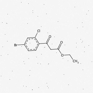 CCOC(=O)CC(=O)c1ccc(Br)cc1Cl